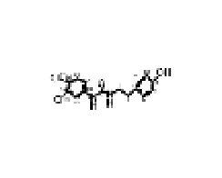 O=C(NCCc1ccc(O)cc1)Nc1ccc(Cl)c(Cl)c1